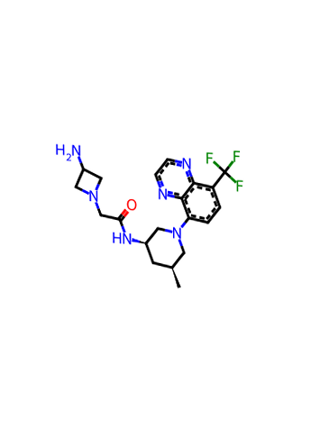 C[C@H]1C[C@@H](NC(=O)CN2CC(N)C2)CN(c2ccc(C(F)(F)F)c3nccnc23)C1